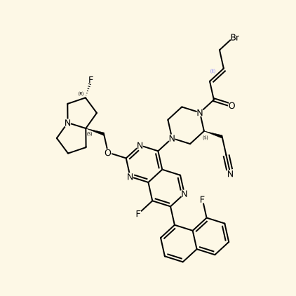 N#CC[C@H]1CN(c2nc(OC[C@@]34CCCN3C[C@H](F)C4)nc3c(F)c(-c4cccc5cccc(F)c45)ncc23)CCN1C(=O)/C=C/CBr